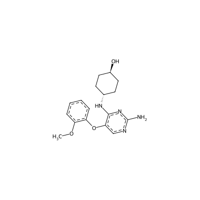 COc1ccccc1Oc1cnc(N)nc1N[C@H]1CC[C@H](O)CC1